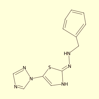 c1ccc(CNN=c2[nH]cc(-n3cncn3)s2)cc1